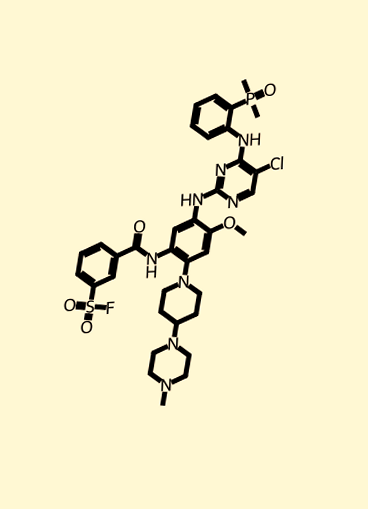 COc1cc(N2CCC(N3CCN(C)CC3)CC2)c(NC(=O)c2cccc(S(=O)(=O)F)c2)cc1Nc1ncc(Cl)c(Nc2ccccc2P(C)(C)=O)n1